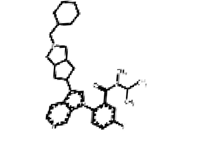 CC(C)N(C)C(=O)c1cc(F)ccc1-n1cc(C2CC3CN(CC4CCCCC4)CC3C2)c2ccncc21